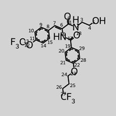 O=C(NCCO)C(=Cc1ccc(OC(F)(F)F)cc1)NC(=O)c1ccc(OCCCC(F)(F)F)cc1